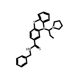 CCC(N1CCCC1)N1c2ccccc2Sc2ccc(C(=S)NCc3ccccc3)cc21